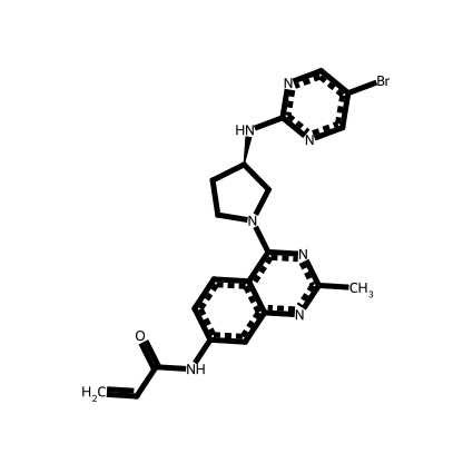 C=CC(=O)Nc1ccc2c(N3CC[C@@H](Nc4ncc(Br)cn4)C3)nc(C)nc2c1